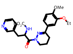 CCOc1cc(C2=NN(C(=O)C(Cc3cccnc3)NC(=O)O)CCC2)ccc1OC